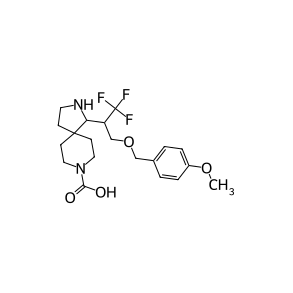 COc1ccc(COCC(C2NCCC23CCN(C(=O)O)CC3)C(F)(F)F)cc1